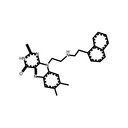 C=c1nc2c(c(=O)[nH]1)=Nc1cc(C)c(C)cc1N2CCNCCc1cccc2ccccc12